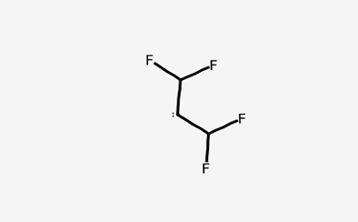 FC(F)[C]C(F)F